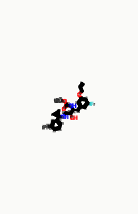 C=CCOc1cc(F)cc(C[C@H](NC(=O)OC(C)(C)C)[C@H](O)CNC2(c3cccc(C(C)C)c3)CC2)c1